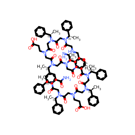 COCCNCC(=O)N(CC(=O)N(CC(=O)N(CCC(=O)O)CC(=O)N(CC(=O)N(CC(=O)N(CCCN)CC(=O)N(CC(=O)N(CC(=O)N(CCC(=O)O)CC(=O)N(CC(=O)N(CC(N)=O)[C@@H](C)c1ccccc1)[C@@H](C)c1ccccc1)[C@@H](C)c1ccccc1)[C@@H](C)c1ccccc1)[C@@H](C)c1ccccc1)[C@@H](C)c1ccccc1)[C@@H](C)c1ccccc1)[C@@H](C)c1ccccc1